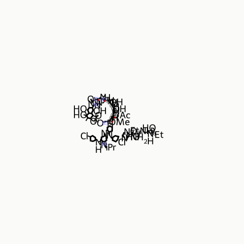 CC(C)/N=c1\cc2n(-c3ccc(Cl)cc3)c3ccccc3nc-2cc1Nc1ccc(Cl)cc1.CC[C@@H](CO)NCCN[C@@H](CC)CO.CO[C@H]1/C=C/O[C@@]2(C)Oc3c(C)c(O)c4c(O)c(c(/C=N/N5CCN(C)CC5)c(O)c4c3C2=O)NC(=O)/C(C)=C\C=C\[C@H](C)[C@H](O)[C@@H](C)[C@@H](O)[C@@H](C)[C@H](OC(C)=O)[C@@H]1C.NC(=O)c1cnccn1